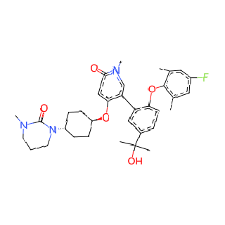 Cc1cc(F)cc(C)c1Oc1ccc(C(C)(C)O)cc1-c1cn(C)c(=O)cc1O[C@H]1CC[C@H](N2CCCN(C)C2=O)CC1